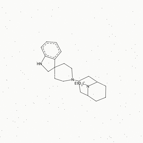 CCOC(=O)N1C2CCCC1CC(N1CCC3(CC1)CNc1ccccc13)C2